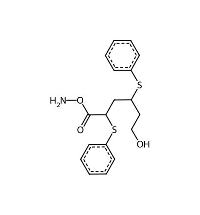 NOC(=O)C(CC(CCO)Sc1ccccc1)Sc1ccccc1